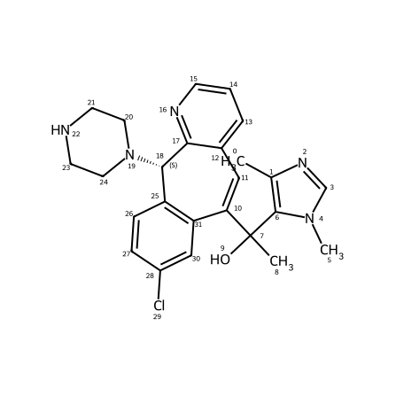 Cc1ncn(C)c1C(C)(O)C1=Cc2cccnc2[C@@H](N2CCNCC2)c2ccc(Cl)cc21